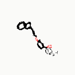 O=C(O)C(=O)c1ccc(OCC=Cc2ccc3ccccc3c2)cc1